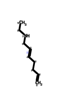 C=CCC/C=C/CNCC